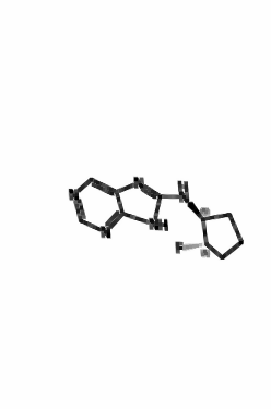 F[C@H]1CCC[C@@H]1Nc1nc2cncnc2[nH]1